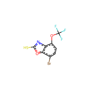 FC(F)(F)Oc1ccc(Br)c2oc(S)nc12